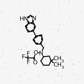 CC1(C)CCCC(N(Cc2ccc(-c3ccc4[nH]cnc4c3)cc2)OC(=O)C(F)(F)F)C1